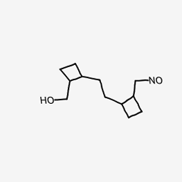 O=NCC1CCC1CCC1CCC1CO